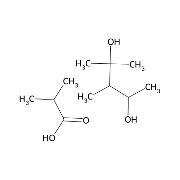 CC(C)C(=O)O.CC(O)C(C)C(C)(C)O